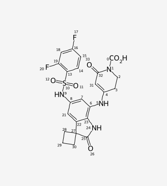 O=C(O)N1CCC(Nc2cc(NS(=O)(=O)c3ccc(F)cc3F)cc3c2NC(=O)C32CCC2)=CC1=O